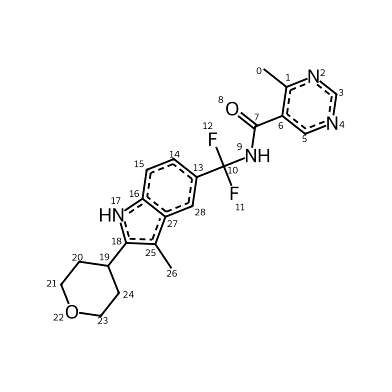 Cc1ncncc1C(=O)NC(F)(F)c1ccc2[nH]c(C3CCOCC3)c(C)c2c1